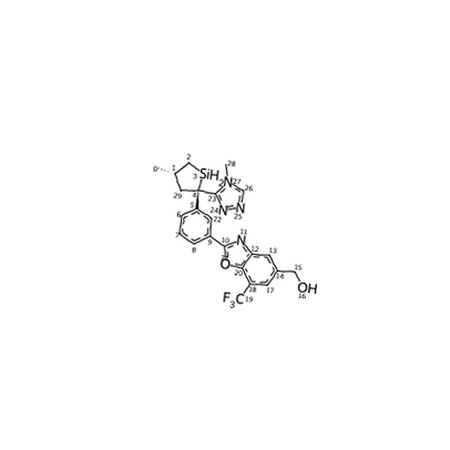 C[C@@H]1C[SiH2][C@](c2cccc(-c3nc4cc(CO)cc(C(F)(F)F)c4o3)c2)(c2nncn2C)C1